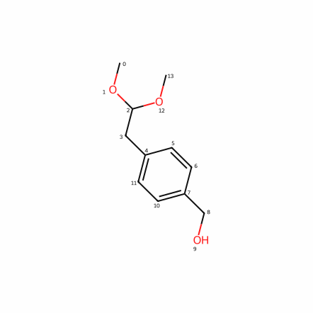 COC(Cc1ccc(CO)cc1)OC